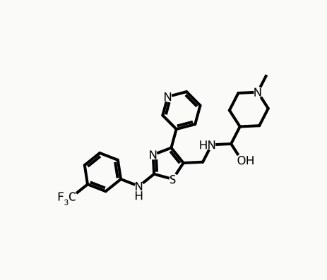 CN1CCC(C(O)NCc2sc(Nc3cccc(C(F)(F)F)c3)nc2-c2cccnc2)CC1